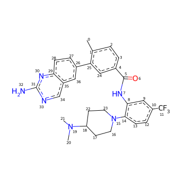 Cc1ccc(C(=O)Nc2cc(C(F)(F)F)ccc2N2CCC(N(C)C)CC2)cc1-c1ccc2nc(N)ncc2c1